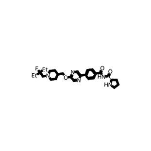 CCC(F)(CC)CN1CCC(COc2cnc(-c3ccc(C(=O)NC(=O)[C@@H]4CCCN4)cc3)cn2)CC1